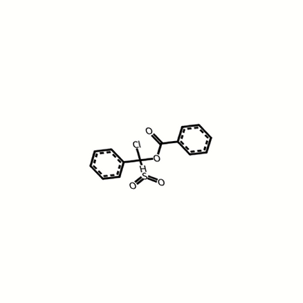 O=C(OC(Cl)(c1ccccc1)[SH](=O)=O)c1ccccc1